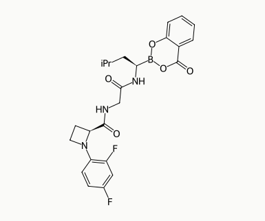 CC(C)C[C@H](NC(=O)CNC(=O)[C@@H]1CCN1c1ccc(F)cc1F)B1OC(=O)c2ccccc2O1